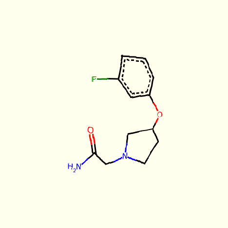 NC(=O)CN1CCC(Oc2cccc(F)c2)C1